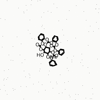 COC1C(O)C(OC(=O)Oc2ccccc2)C(OC(=O)Oc2ccccc2)C(OC(=O)Oc2ccccc2)C1OC(=O)Oc1ccccc1